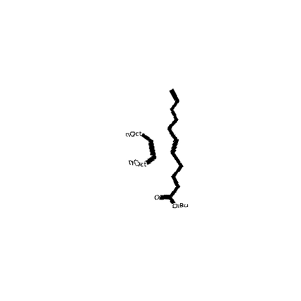 C=CCCCCCCCCC(=O)OCC(C)C.CCCCCCCC/C=C\CCCCCCCC